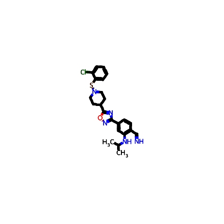 CC(C)Nc1cc(-c2noc(C3CCN(Sc4ccccc4Cl)CC3)n2)ccc1C=N